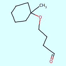 CC1(OCCCC=O)CCCCC1